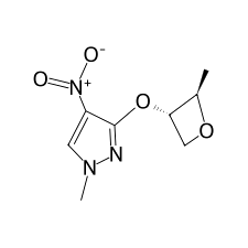 C[C@H]1OC[C@@H]1Oc1nn(C)cc1[N+](=O)[O-]